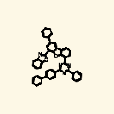 c1ccc(-c2ccc(-c3nc(-c4ccccc4)nc(-c4cccc5c4oc4c(-c6nc7ccccc7o6)cc(-c6ccccc6)cc45)n3)cc2)cc1